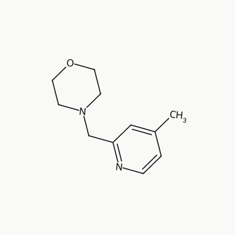 Cc1ccnc(CN2CCOCC2)c1